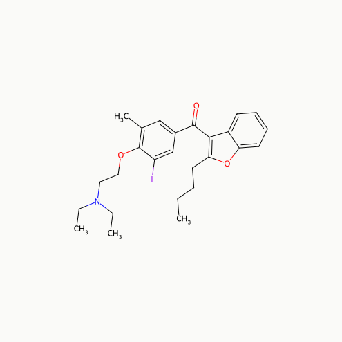 CCCCc1oc2ccccc2c1C(=O)c1cc(C)c(OCCN(CC)CC)c(I)c1